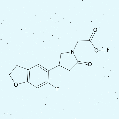 O=C(CN1CC(c2cc3c(cc2F)OCC3)CC1=O)OF